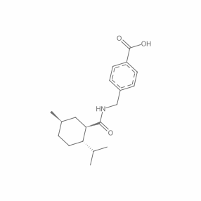 CC(C)[C@@H]1CC[C@@H](C)C[C@H]1C(=O)NCc1ccc(C(=O)O)cc1